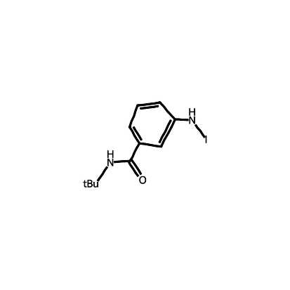 CC(C)(C)NC(=O)c1cccc(NI)c1